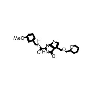 COc1cccc(CNC(=O)c2nc3scc(COCC4CCCCO4)c3c(=O)[nH]2)c1